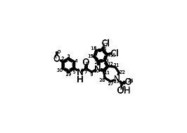 COc1ccc(NC(=O)Cn2c3c(c4c(Cl)c(Cl)ccc42)CCN(C(=O)O)CC3)cc1